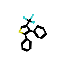 FC(F)(F)c1csc(-c2ccccc2)c1-c1ccccc1